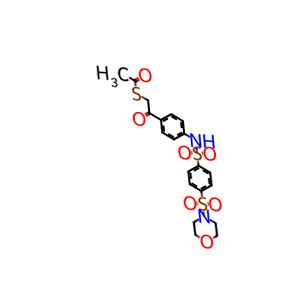 CC(=O)SCC(=O)c1ccc(NS(=O)(=O)c2ccc(S(=O)(=O)N3CCOCC3)cc2)cc1